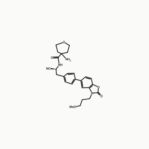 COCCCn1c(=O)oc2ccc(-c3ccc(C[C@@H](C#N)NC(=O)C4(N)CCOCC4)cc3)cc21